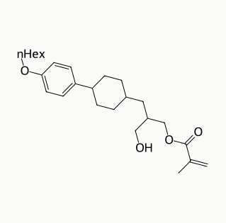 C=C(C)C(=O)OCC(CO)CC1CCC(c2ccc(OCCCCCC)cc2)CC1